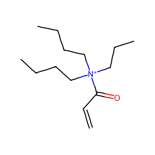 C=CC(=O)[N+](CCC)(CCCC)CCCC